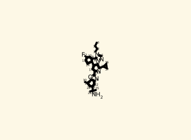 CCCCn1cnnc1-c1cc(F)ccc1-c1cc(-c2nc3cc(C(C)(C)N)cc(C)c3o2)nc(C2CC2)c1